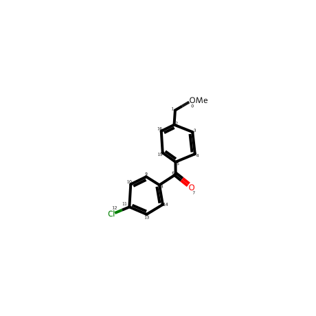 COCc1ccc(C(=O)c2ccc(Cl)cc2)cc1